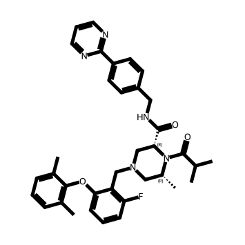 Cc1cccc(C)c1Oc1cccc(F)c1CN1C[C@@H](C)N(C(=O)C(C)C)[C@@H](C(=O)NCc2ccc(-c3ncccn3)cc2)C1